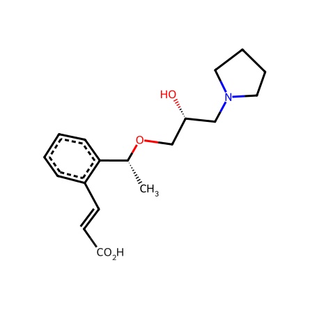 C[C@@H](OC[C@H](O)CN1CCCC1)c1ccccc1/C=C/C(=O)O